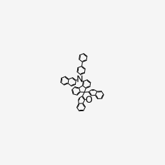 c1ccc(-c2ccc(N(c3ccc4ccccc4c3)c3cccc4c3-c3ccccc3C43c4ccc5ccccc5c4Oc4c3ccc3ccccc43)cc2)cc1